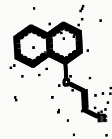 [CH2]CC=COc1cccc2ccccc12